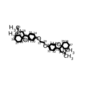 CN(C)CC(c1ccc(OCCOc2ccc(C(CN(C)C)C3(O)CCCCC3)cc2)cc1)C1(O)CCCCC1